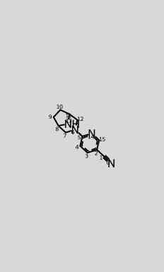 N#Cc1ccc(N2CC3CCC(C2)N3)nc1